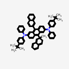 CC(C)(C)c1ccc(N(c2ccccc2)c2ccc3c(C4(C)C=c5ccccc5=CC4)c4cc(N(c5ccccc5)c5ccc(C(C)(C)C)cc5)ccc4c(-c4ccc5ccccc5c4)c3c2)cc1